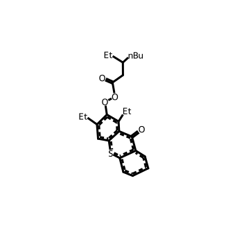 CCCCC(CC)CC(=O)OOc1c(CC)cc2sc3ccccc3c(=O)c2c1CC